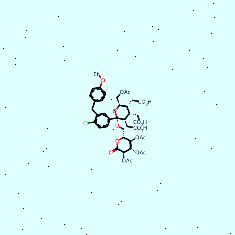 CCOc1ccc(Cc2cc([C@@]3(OC[C@H]4OC(=O)[C@H](OC(C)=O)[C@@H](OC(C)=O)[C@@H]4OC(C)=O)O[C@@H](COC(C)=O)[C@H](CC(=O)O)[C@H](CC(=O)O)[C@H]3CC(=O)O)ccc2Cl)cc1